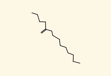 [CH2]CCCC(=C)CCCCCCCCC